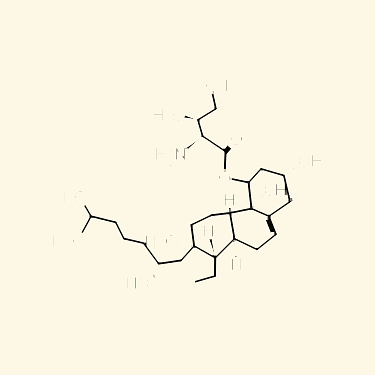 CC[C@H](C)[C@H](N)C(=O)OC1C[C@H](O)CC2=CC[C@H]3[C@@H]4CC[C@H]([C@H](C)CCCC(C)C)[C@@]4(C)CC[C@@H]3[C@]21C